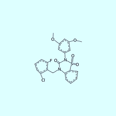 COc1cc(OC)cc(N2C(=O)N(Cc3c(F)cccc3Cl)c3ccccc3S2(=O)=O)c1